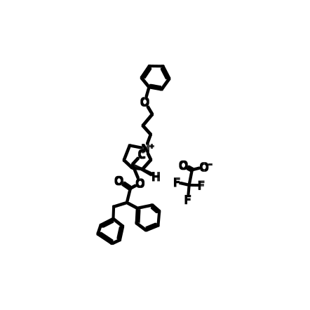 O=C(O[C@H]1C[N+]2(CCCOc3ccccc3)CCC1CC2)C(Cc1ccccc1)c1ccccc1.O=C([O-])C(F)(F)F